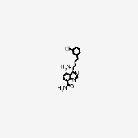 NC(=O)c1cccc2c(N(N)CCCc3cccc(Cl)c3)ncnc12